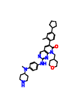 Cc1cc(C2CCCC2)ccc1-c1cc2cnc(Nc3ccc(N(C)C4CCNCC4)cc3)nc2n(CC2CCOCC2)c1=O